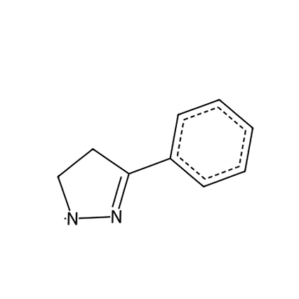 c1ccc(C2=N[N]CC2)cc1